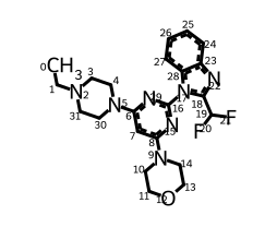 CCN1CCN(c2cc(N3CCOCC3)nc(-n3c(C(F)F)nc4ccccc43)n2)CC1